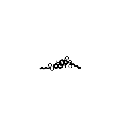 CCCCCC(=O)Oc1ccc2c(c1)CC[C@@H]1[C@@H]2CC[C@]2(C)C(=O)[C@H](OC(=O)CCCCC)C[C@@H]12